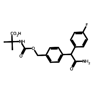 CC(C)(NC(=O)OCc1ccc(C(C(N)=O)c2ccc(F)cc2)cc1)C(=O)O